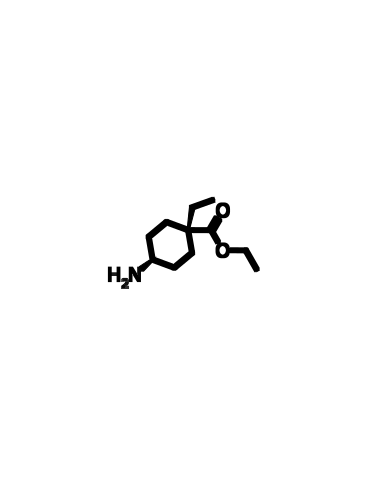 CCOC(=O)[C@]1(CC)CC[C@@H](N)CC1